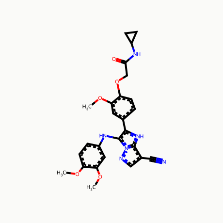 COc1ccc(Nc2c(-c3ccc(OCC(=O)NC4CC4)c(OC)c3)[nH]c3c(C#N)cnn23)cc1OC